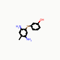 Cc1cc(N)c(Sc2cccc(O)c2)cc1N